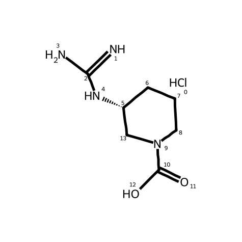 Cl.N=C(N)N[C@@H]1CCCN(C(=O)O)C1